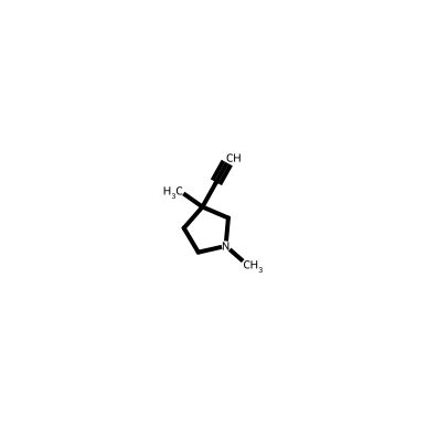 C#CC1(C)CCN(C)C1